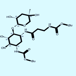 CC(C)(C)OC(=O)NCCC(=O)N[C@@H]1C[C@H](NC(=O)OC(C)(C)C)[C@@H](N=O)[C@H](O)[C@H]1O[C@H]1OC[C@](C)(O)C[C@H]1O